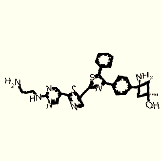 C[C@]1(O)C[C@](N)(c2ccc(-c3nc(-c4cnc(-c5cnc(NCCN)nc5)s4)sc3-c3ccccc3)cc2)C1